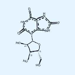 O=c1[nH]c2c(=O)[nH]c(=O)n(C3O[C@H](CO)[C@@H](O)[C@H]3O)c2[nH]1